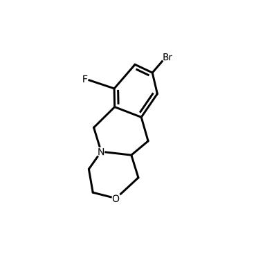 Fc1cc(Br)cc2c1CN1CCOCC1C2